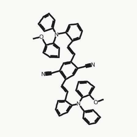 COc1ccccc1N(c1ccccc1)c1ccccc1/C=C/c1cc(C#N)c(/C=C/c2ccccc2N(c2ccccc2)c2ccccc2OC)cc1C#N